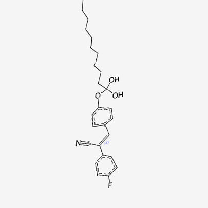 CCCCCCCCCCC(O)(O)Oc1ccc(/C=C(\C#N)c2ccc(F)cc2)cc1